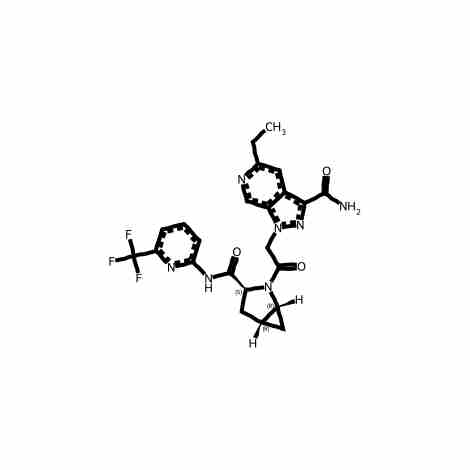 CCc1cc2c(C(N)=O)nn(CC(=O)N3[C@@H]4C[C@@H]4C[C@H]3C(=O)Nc3cccc(C(F)(F)F)n3)c2cn1